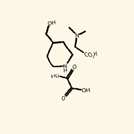 CN(C)CC(=O)O.O=C(O)C(=O)O.OCC1CCNCC1